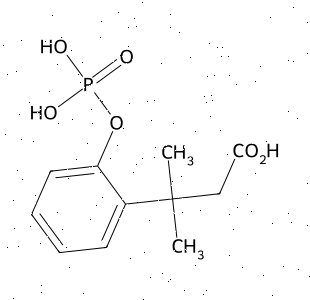 CC(C)(CC(=O)O)c1ccccc1OP(=O)(O)O